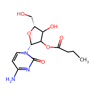 CCCC(=O)OC1C(O)[C@@H](CO)O[C@H]1n1ccc(N)nc1=O